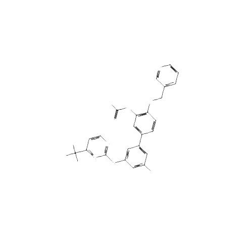 Cc1cc(Nc2nccc(C(F)(F)F)n2)cc(-c2ccc(OCc3cccnc3)c(OC(=O)O)c2)c1